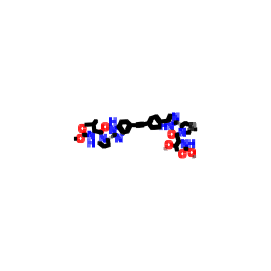 COC(=O)N[C@H](C(=O)N1CCC[C@H]1c1nc2cc(C#Cc3ccc(-c4cnc([C@@H]5C[Si](C)(C)CN5C(=O)[C@@H](NC(=O)OC)C(C)OC)[nH]4)cc3)ccc2[nH]1)C(C)C